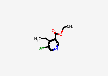 CCOC(=O)c1cncc(Br)c1CC